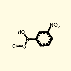 O=[N+]([O-])c1cccc(B(O)OCl)c1